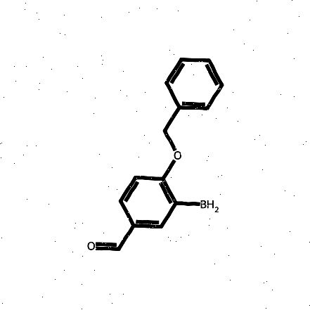 Bc1cc(C=O)ccc1OCc1ccccc1